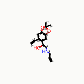 C#CCNCC(O)c1cc2c(cc1C#C)OC(C)(C)O2